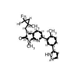 Cc1ccc(-c2ccn[nH]2)cc1-c1ccc2c(n1)n(C)c(=O)n2C[C@@]1(C)CC1(F)F